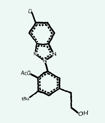 CC(=O)Oc1c(-n2nc3ccc(Cl)cc3n2)cc(CCO)cc1C(C)(C)C